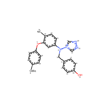 COc1ccc(Oc2cc(N(Cc3ccc(O)cc3)n3cnnc3)ccc2C#N)cc1